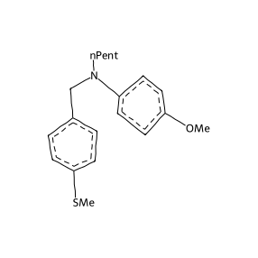 CCCCCN(Cc1ccc(SC)cc1)c1ccc(OC)cc1